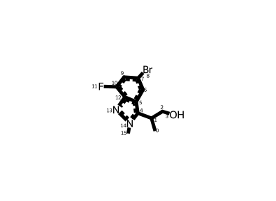 CC(CO)c1c2cc(Br)cc(F)c2nn1C